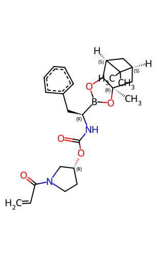 C=CC(=O)N1CC[C@@H](OC(=O)N[C@@H](Cc2ccccc2)B2OC3[C@H]4C[C@@H](C[C@@]3(C)O2)C4(C)C)C1